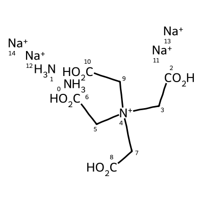 N.N.O=C(O)C[N+](CC(=O)O)(CC(=O)O)CC(=O)O.[Na+].[Na+].[Na+].[Na+]